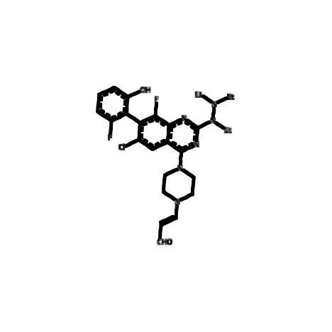 CCN(CC)N(CC)c1nc(N2CCN(C=CC=O)CC2)c2cc(Cl)c(-c3c(O)cccc3F)c(F)c2n1